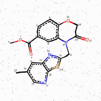 COC(=O)c1ccc2c(c1)N(Cc1nc3cc(C)cnc3s1)C(=O)CO2